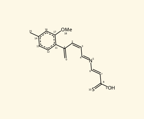 C=C(\C=C/C=N/C=C/C(O)=S)c1ccc(C)cc1OC